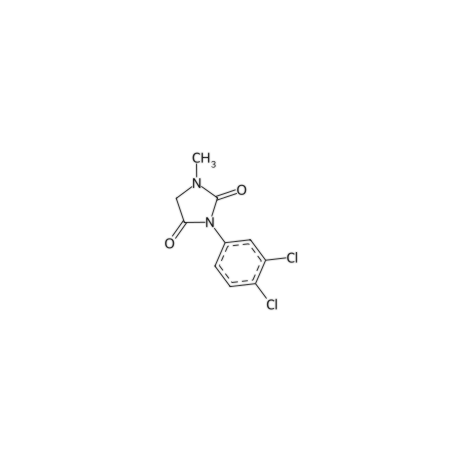 CN1CC(=O)N(c2ccc(Cl)c(Cl)c2)C1=O